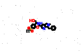 CCS(=O)(=O)c1ccc(C(CO)NC(=O)c2cnc3c(c2)CN(C)C3Cc2ccccc2)cc1